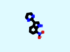 O=[N+]([O-])c1cccc2c(-c3ncccn3)c[nH]c12